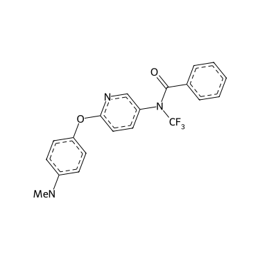 CNc1ccc(Oc2ccc(N(C(=O)c3ccccc3)C(F)(F)F)cn2)cc1